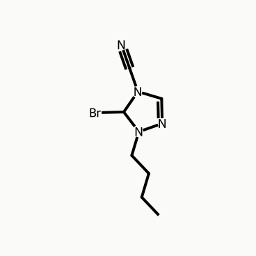 CCCCN1N=CN(C#N)C1Br